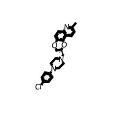 Cc1ccc2c3c(ccc2n1)OC[C@H](CN1CCN(c2ccc(Cl)cc2)CC1)O3